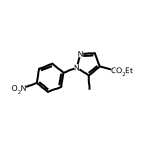 CCOC(=O)c1cnn(-c2ccc([N+](=O)[O-])cc2)c1C